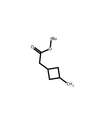 CC1CC(CC(=O)OC(C)(C)C)C1